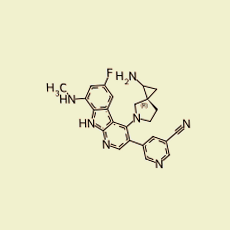 CNc1cc(F)cc2c1[nH]c1ncc(-c3cncc(C#N)c3)c(N3CC[C@@]4(CC4N)C3)c12